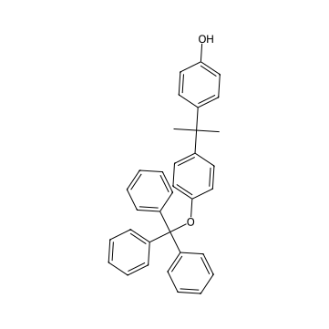 CC(C)(c1ccc(O)cc1)c1ccc(OC(c2ccccc2)(c2ccccc2)c2ccccc2)cc1